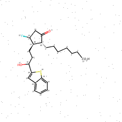 O=C(O)CCCCCC[C@H]1C(=O)C[C@H](F)[C@@H]1CCC(O)c1cc2ccccc2s1